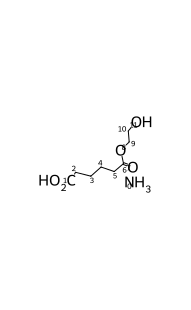 N.O=C(O)CCCCC(=O)OCCO